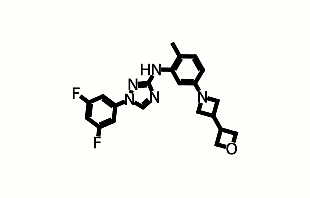 Cc1ccc(N2CC(C3COC3)C2)cc1Nc1ncn(-c2cc(F)cc(F)c2)n1